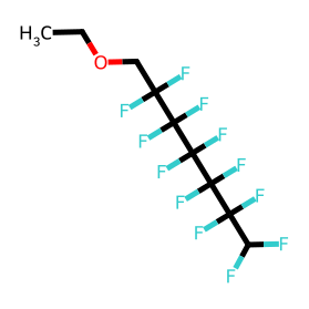 CCOCC(F)(F)C(F)(F)C(F)(F)C(F)(F)C(F)(F)C(F)F